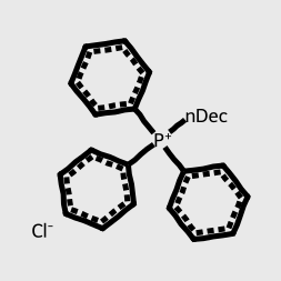 CCCCCCCCCC[P+](c1ccccc1)(c1ccccc1)c1ccccc1.[Cl-]